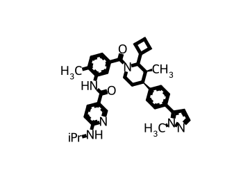 Cc1ccc(C(=O)N2CC[C@H](c3ccc(-c4ccnn4C)cc3)[C@H](C)C2C2CCC2)cc1NC(=O)c1ccc(NC(C)C)nc1